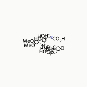 COc1ccc(CCN(CC(=O)[C@@]2(O)CC[C@H]3[C@@H]4CCC5=CC(=O)CC[C@]5(C)C4=CC[C@@]32C)Cc2ccc(O)c(O)c2)cc1OC.O=C(O)/C=C/C(=O)O